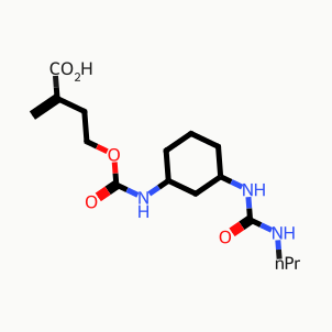 C=C(CCOC(=O)NC1CCCC(NC(=O)NCCC)C1)C(=O)O